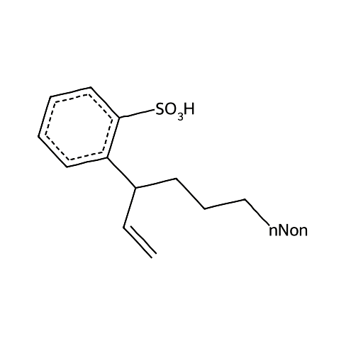 C=CC(CCCCCCCCCCCC)c1ccccc1S(=O)(=O)O